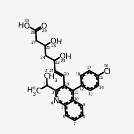 CC(C)c1nc2ccccc2c(-c2ccc(Cl)cc2)c1/C=C/C(O)CC(O)CC(=O)O